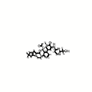 CC(=O)OCc1c(-c2cc(Nc3ccnc(C(C)(C)O)n3)c(=O)n(C)c2)ccnc1N1CCn2c(cc3c2CC(C)(C)C3)C1=O